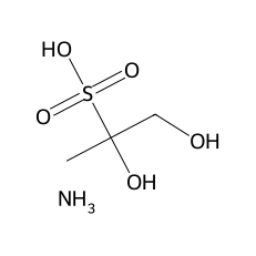 CC(O)(CO)S(=O)(=O)O.N